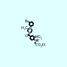 CCOC(=O)C[S+]([O-])c1ccc(C(=O)N2CCN(c3cccc(Br)c3)[C@@H](C)C2)cc1[N+](=O)[O-]